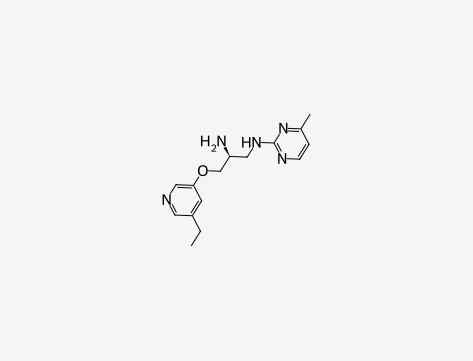 CCc1cncc(OC[C@@H](N)CNc2nccc(C)n2)c1